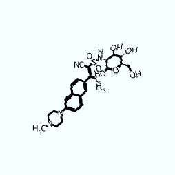 C/C(=C(/C#N)S(=O)(=O)N[C@H]1C(O)O[C@H](CO)[C@@H](O)[C@@H]1O)c1ccc2cc(N3CCN(C)CC3)ccc2c1